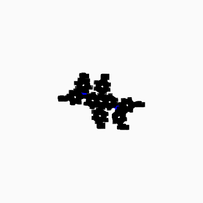 CC(C)(C)c1ccc2c(c1)c1cc(C(C)(C)C)ccc1n2-c1ccc2c(-c3ccc(C#N)cc3)c3cc(-n4c5ccc(C(C)(C)C)cc5c5cc(C(C)(C)C)ccc54)ccc3c(-c3ccc(C#N)cc3)c2c1